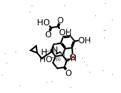 O=C(O)C(=O)O.O=C1CC[C@@]2(O)[C@H]3Cc4ccc(O)c5c4[C@@]2(CCN3CC2CC2)[C@H]1O5